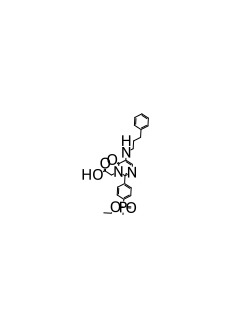 CCOP(C)(=O)c1ccc(-c2ncc(NCCCc3ccccc3)c(=O)n2CC(=O)O)cc1